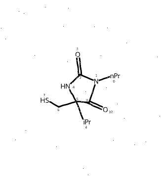 CCCN1C(=O)NC(CS)(C(C)C)C1=O